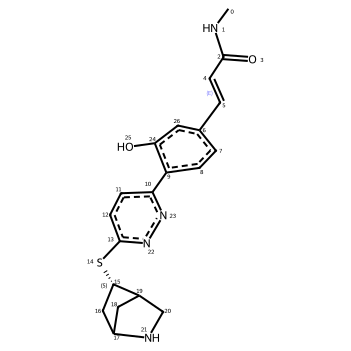 CNC(=O)/C=C/c1ccc(-c2ccc(S[C@H]3CC4CC3CN4)nn2)c(O)c1